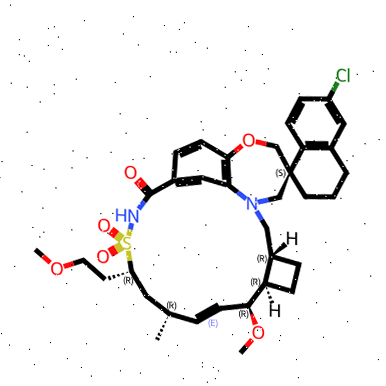 COCC[C@H]1C[C@@H](C)/C=C/[C@H](OC)[C@@H]2CC[C@H]2CN2C[C@@]3(CCCc4cc(Cl)ccc43)COc3ccc(cc32)C(=O)NS1(=O)=O